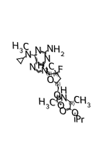 CC(C)OC(=O)[C@@H](C)NP(C)(=O)OC[C@@H]1C[C@@](C)(F)[C@H](n2cnc3c(N(C)C4CC4)nc(N)nc32)O1